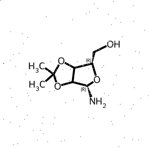 CC1(C)OC2C(O1)[C@@H](CO)O[C@H]2N